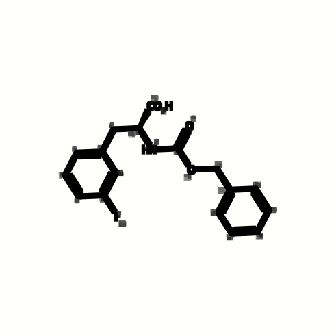 O=C(N[C@@H](Cc1cccc(F)c1)C(=O)O)OCc1ccccc1